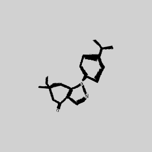 CC(C)c1ccc(-n2ncc3c2CC(C)(C)CC3=O)cc1